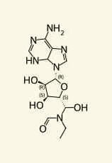 CCN(C=O)C(O)[C@H]1O[C@@H](N2C=NC3=C(N)N=CNC32)[C@H](O)[C@@H]1O